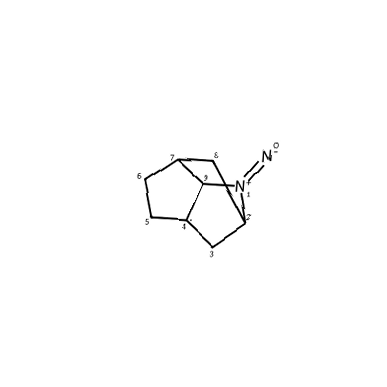 [N-]=[N+]1C2C[C]3CCC(C2)C31